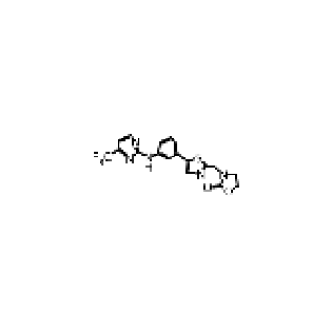 O=C1OCCN1Cc1ncc(-c2cccc(Nc3nccc(C(F)(F)F)n3)c2)s1